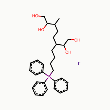 CC(CCC(CCCC[P+](c1ccccc1)(c1ccccc1)c1ccccc1)C(O)CO)C(O)CO.[I-]